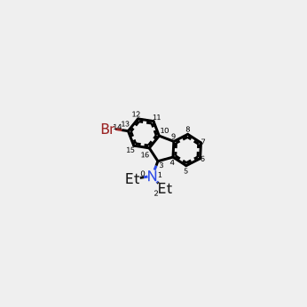 CCN(CC)C1c2ccccc2-c2ccc(Br)cc21